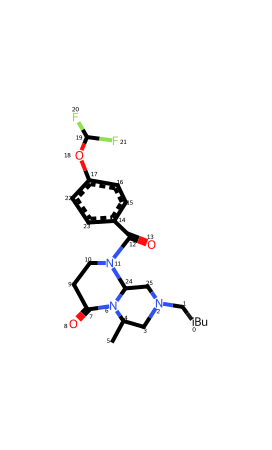 CCC(C)CN1CC(C)N2C(=O)CCN(C(=O)c3ccc(OC(F)F)cc3)C2C1